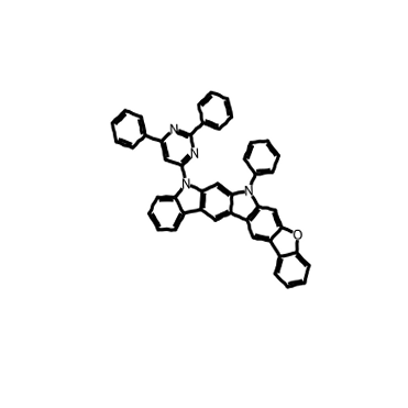 c1ccc(-c2cc(-n3c4ccccc4c4cc5c6cc7c(cc6n(-c6ccccc6)c5cc43)oc3ccccc37)nc(-c3ccccc3)n2)cc1